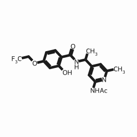 CC(=O)Nc1cc(C(C)NC(=O)c2ccc(OCC(F)(F)F)cc2O)cc(C)n1